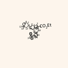 CCOC(=O)c1cc2cc(C3CCOC(C)(C)C3)ccc2n1Cc1cnc(S(C)(=O)=O)s1